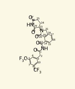 O=C(Cc1cc(C(F)(F)F)cc(C(F)(F)F)c1)NC(=O)c1cccc2c1C(=O)N(C1CCC(=O)NC1=O)C2